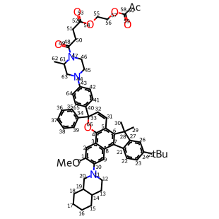 COc1cc2c3c(c4c(c2cc1N1CCC2CCCCC2C1)-c1ccc(C(C)(C)C)cc1C4(C)C)C=CC(c1ccccc1)(c1ccc(N2CCN(C(=O)CCC(=O)OCCOC(=O)C(C)=O)C(C)C2)cc1)O3